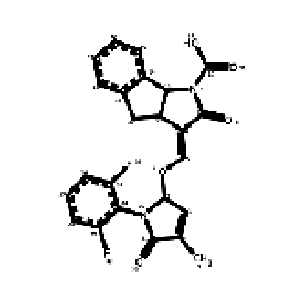 CC1=CC(O/C=C2/C(=O)N(C(=O)O)C3c4ccccc4CC23)N(c2c(F)cccc2F)C1=O